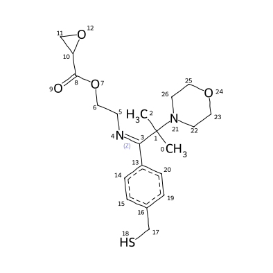 CC(C)(/C(=N\CCOC(=O)C1CO1)c1ccc(CS)cc1)N1CCOCC1